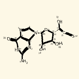 Nc1nc2c(ncn2[C@@H]2O[C@H](C(O)=C=S)[C@@H](O)[C@H]2O)c(=O)[nH]1